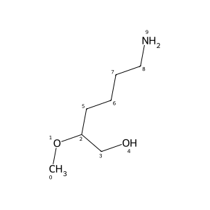 COC(CO)CCCCN